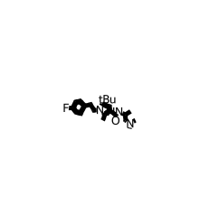 Cc1c(C(=O)NC(C)CN(C)C)cc(C(C)(C)C)n1CCc1ccc(F)cc1